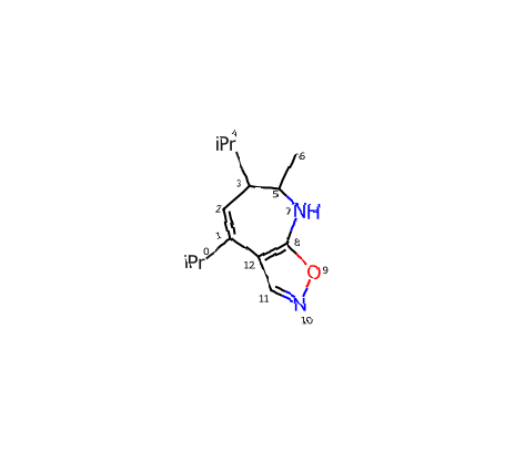 CC(C)C1=CC(C(C)C)C(C)Nc2oncc21